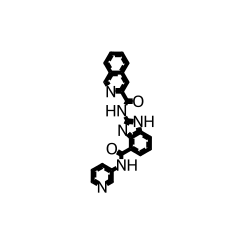 O=C(Nc1nc2c(C(=O)Nc3cccnc3)cccc2[nH]1)c1cc2ccccc2cn1